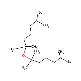 CCC(C)C(C)CCCC(C)(C)OC(C)(C)CCCC(C)C(C)CC